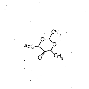 CC(=O)OC1OC(C)OC(C)C1=O